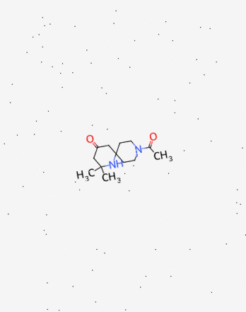 CC(=O)N1CCC2(CC1)CC(=O)CC(C)(C)N2